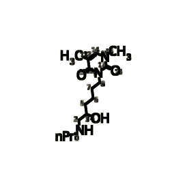 CCCNCC(O)CCCCn1c(=O)c(C)cn(C)c1=O